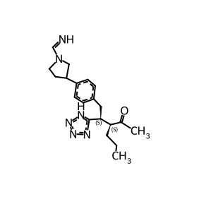 CCC[C@H](C(C)=O)[C@H](Cc1ccc(C2CCN(C=N)C2)cc1)c1nnn[nH]1